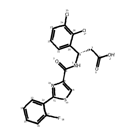 O=C(O)C[C@H](NC(=O)c1csc(-c2ccccc2F)n1)c1cccc(Cl)c1Cl